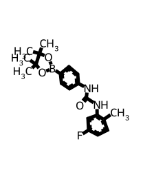 Cc1ccc(F)cc1NC(=O)Nc1ccc(B2OC(C)(C)C(C)(C)O2)cc1